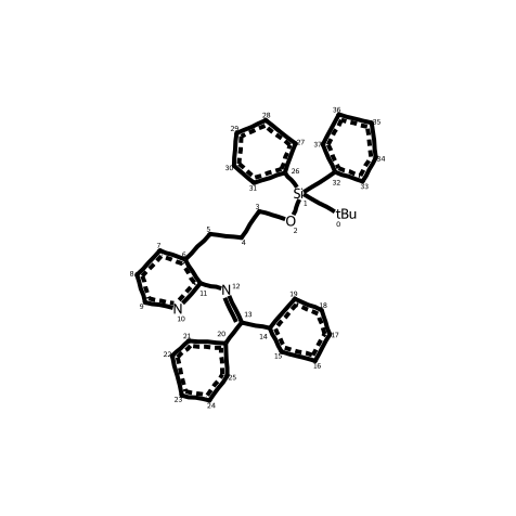 CC(C)(C)[Si](OCCCc1cccnc1N=C(c1ccccc1)c1ccccc1)(c1ccccc1)c1ccccc1